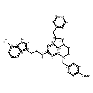 COc1ccc(CN2CCC3NN(Cc4ccccc4)c4nc(NCCc5c[nH]c6c(C)cccc56)nc2c43)cc1